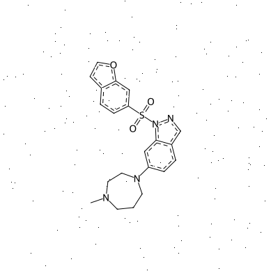 CN1CCCN(c2ccc3cnn(S(=O)(=O)c4ccc5ccoc5c4)c3c2)CC1